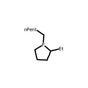 CCCCCCP1CCCC1CC